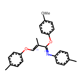 COc1ccc(OC(=N\c2ccc(C)cc2)/C(C)=C/Oc2ccc(C)cc2)cc1